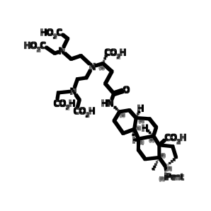 CCC[C@@H](C)[C@H]1CCC2(C(=O)O)[C@@H]3CC[C@@H]4C[C@@H](NC(=O)CC[C@@H](C(=O)O)N(CCN(CC(=O)O)CC(=O)O)CCN(CC(=O)O)CC(=O)O)CC[C@]4(C)[C@H]3CC[C@]12C